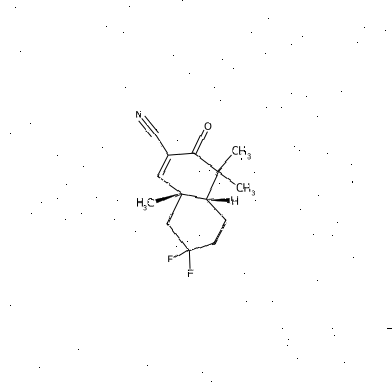 CC1(C)C(=O)C(C#N)=C[C@@]2(C)CC(F)(F)CC[C@@H]12